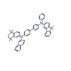 CC1(C)CCC(C)(C)c2cc(N(c3ccc(-c4ccc(N(c5ccccc5)c5ccc6c(c5)-c5ccccc5C6(C)C)cc4)cc3)c3ccc4ccccc4c3)ccc21